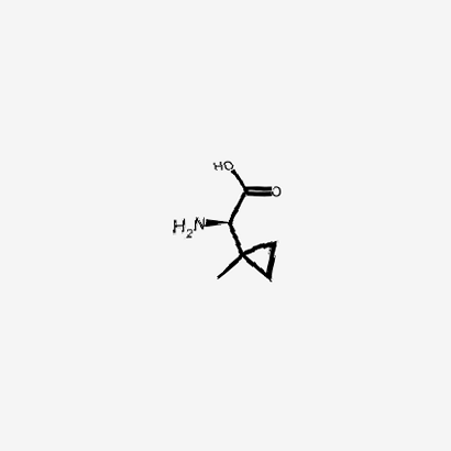 CC1([C@@H](N)C(=O)O)CC1